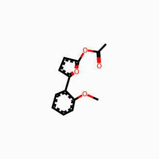 COc1ccccc1-c1ccc(OC(C)=O)o1